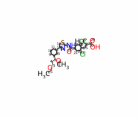 CCOCCC(OC)c1cccc(-c2csc(NC(=O)c3cc(Cl)c(/C=C(\C)C(=O)O)c(Cl)c3)n2)c1